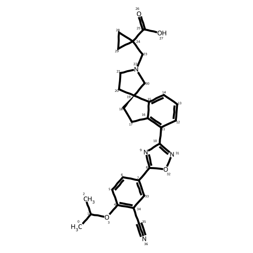 CC(C)Oc1ccc(-c2nc(-c3cccc4c3CC[C@]43CCN(CC4(C(=O)O)CC4)C3)no2)cc1C#N